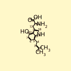 CC(C)=CCc1ccc(O)c2c(CC(N)C(=O)O)c[nH]c12